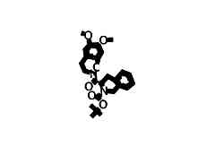 COc1cc2c(cc1OC)CN(C(=O)[C@@H]1Cc3ccccc3CN1C(=O)OC(C)(C)C)CC2